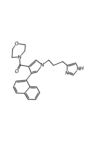 O=C(c1cn(CCCc2c[nH]cn2)cc1-c1cccc2ccccc12)N1CCOCC1